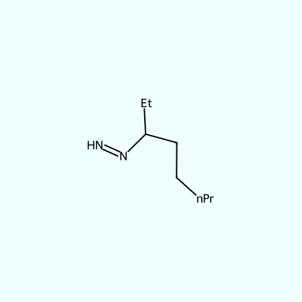 CCCCCC(CC)N=N